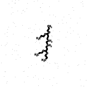 CCCOC(CC[SiH2]C[SiH2]CCC(OCCC)OCCC)OCCC